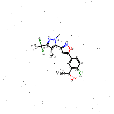 CNC(O)c1cc(-c2cc(-c3c(C(F)(F)F)c(C(F)(F)C(F)(F)F)nn3C)no2)ccc1Cl